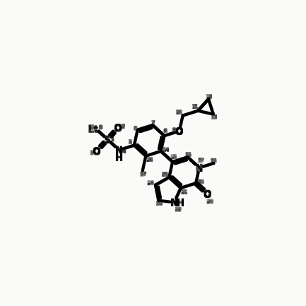 CCS(=O)(=O)Nc1ccc(OCC2CC2)c(-c2cn(C)c(=O)c3[nH]ccc23)c1C